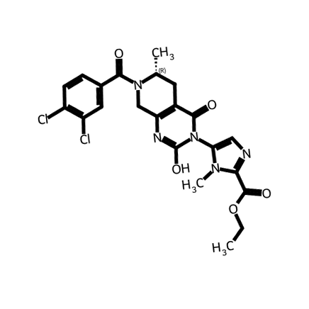 CCOC(=O)c1ncc(-n2c(O)nc3c(c2=O)C[C@@H](C)N(C(=O)c2ccc(Cl)c(Cl)c2)C3)n1C